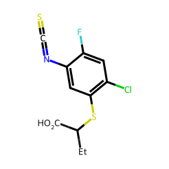 CCC(Sc1cc(N=C=S)c(F)cc1Cl)C(=O)O